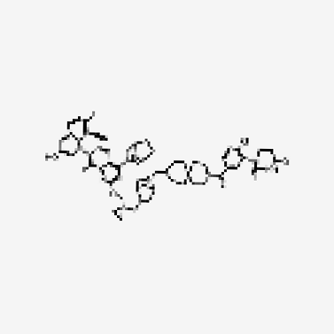 C#Cc1c(F)ccc2cc(O)cc(-c3ncc4c(N5CC6CCC(C5)N6)nc(OCC5(CN6CC7CC6CN7CC6CCC7(CC6)CCN(C(=O)c6ccc(Cl)c(N8CCC(=O)NC8=O)c6)CC7)CC5)nc4c3F)c12